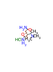 CC(C(SC(N)=O)SC(N)=O)N(C)C.Cl